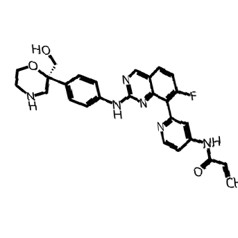 C=CC(=O)Nc1ccnc(-c2c(F)ccc3cnc(Nc4ccc([C@@]5(CO)CNCCO5)cc4)nc23)c1